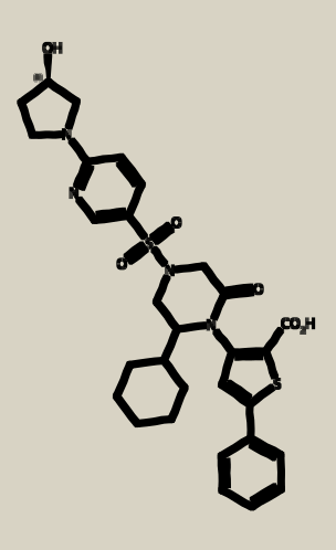 O=C(O)c1sc(-c2ccccc2)cc1N1C(=O)CN(S(=O)(=O)c2ccc(N3CC[C@@H](O)C3)nc2)CC1C1CCCCC1